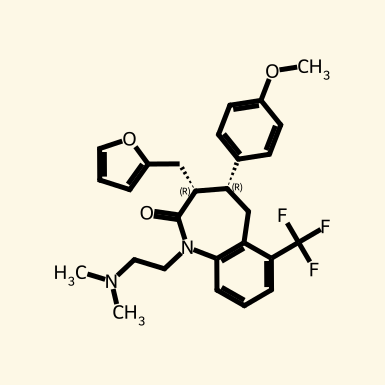 COc1ccc([C@@H]2Cc3c(cccc3C(F)(F)F)N(CCN(C)C)C(=O)[C@@H]2Cc2ccco2)cc1